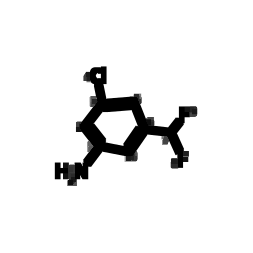 Nc1cc(Cl)cc(C(F)F)c1